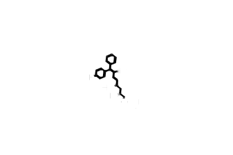 CC(C)C(C=C[C@@H](O)CC(O)CC(=O)O)=C(c1ccc(F)cc1)c1ccc(F)cc1